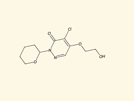 O=c1c(Cl)c(OCCO)cnn1C1CCCCO1